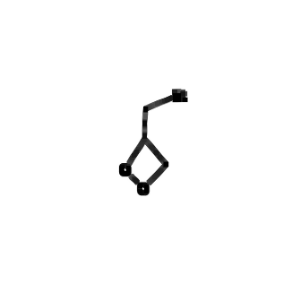 CCC[C]1COO1